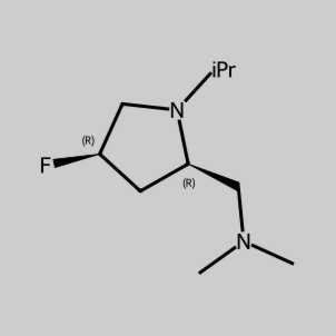 CC(C)N1C[C@H](F)C[C@@H]1CN(C)C